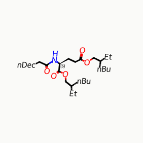 CCCCCCCCCCCC(=O)N[C@@H](CCC(=O)OCC(CC)CCCC)C(=O)OCC(CC)CCCC